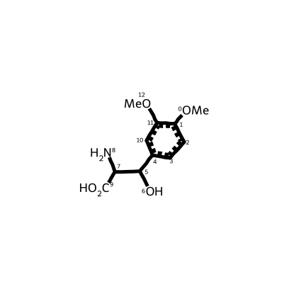 COc1ccc(C(O)C(N)C(=O)O)cc1OC